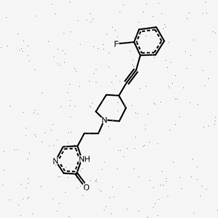 O=c1cncc(CCN2CCC(C#Cc3ccccc3F)CC2)[nH]1